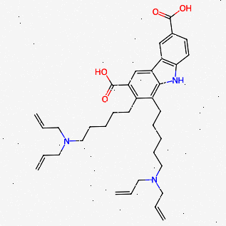 C=CCN(CC=C)CCCCCc1c(C(=O)O)cc2c([nH]c3ccc(C(=O)O)cc32)c1CCCCCN(CC=C)CC=C